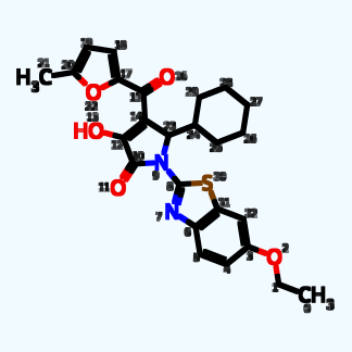 CCOc1ccc2nc(N3C(=O)C(O)=C(C(=O)c4ccc(C)o4)C3C3CCCCC3)sc2c1